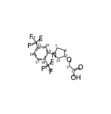 O=C(O)COC1CCN(c2cc(C(F)(F)F)ccc2C(F)(F)F)C1